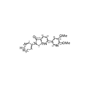 C/C=C(\C=N/C)N1Cc2nc(-c3cnc(OC)c(OC)c3)ccc2C1=O